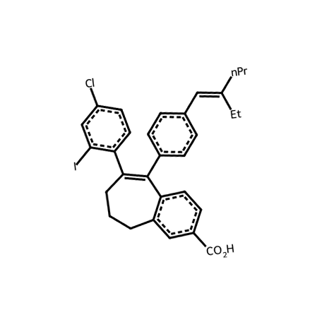 CCC/C(=C/c1ccc(C2=C(c3ccc(Cl)cc3I)CCCc3cc(C(=O)O)ccc32)cc1)CC